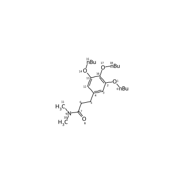 CCCCOc1cc(CCC(=O)N(C)C)cc(OCCCC)c1OCCCC